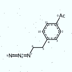 CC(=O)c1ccc(CCN=[N+]=[N-])cc1